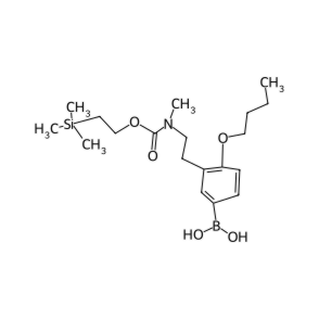 CCCCOc1ccc(B(O)O)cc1CCN(C)C(=O)OCC[Si](C)(C)C